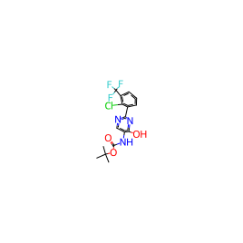 CC(C)(C)OC(=O)Nc1cnc(-c2cccc(C(F)(F)F)c2Cl)nc1O